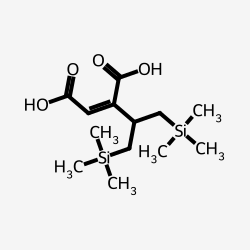 C[Si](C)(C)CC(C[Si](C)(C)C)/C(=C/C(=O)O)C(=O)O